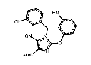 CNc1nc(Oc2cccc(O)c2)n(Cc2cccc(Cl)c2)c1N=O